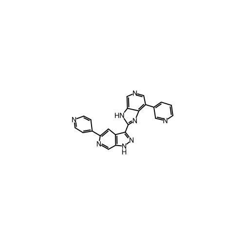 c1cncc(-c2cncc3[nH]c(-c4n[nH]c5cnc(-c6ccncc6)cc45)nc23)c1